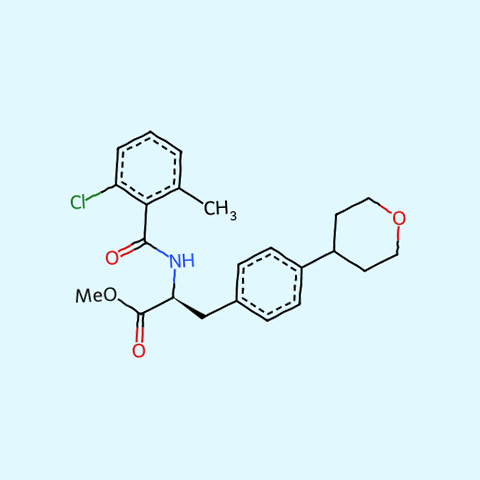 COC(=O)[C@H](Cc1ccc(C2CCOCC2)cc1)NC(=O)c1c(C)cccc1Cl